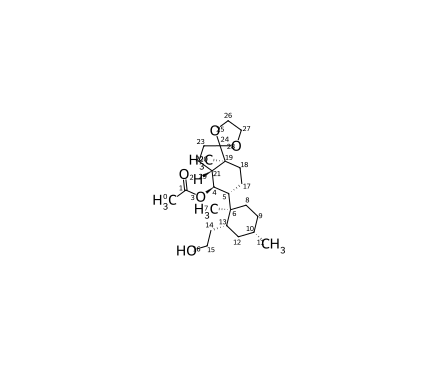 CC(=O)O[C@@H]1[C@@H]([C@@]2(C)CC[C@H](C)C[C@@H]2CCO)CC[C@@]2(C)[C@H]1CCC21OCCO1